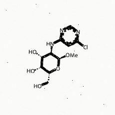 CO[C@H]1O[C@H](CO)[C@H](O)[C@H](O)[C@H]1Nc1cc(Cl)ncn1